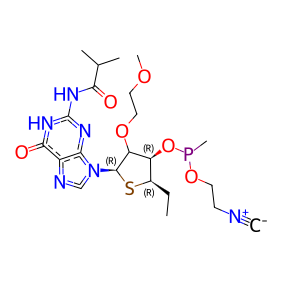 [C-]#[N+]CCOP(C)O[C@@H]1C(OCCOC)[C@H](n2cnc3c(=O)[nH]c(NC(=O)C(C)C)nc32)S[C@@H]1CC